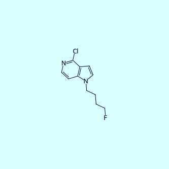 FCCCCn1ccc2c(Cl)nccc21